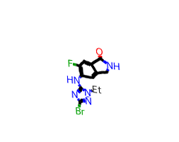 CCn1nc(Br)nc1Nc1cc2c(cc1F)C(=O)NC2